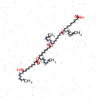 CC/C=C\C/C=C\CC(O)CCCCCCCCC(=O)OC(C/C=C\C/C=C\CC)CCCCCCCCC(=O)OC(C/C=C\C/C=C\CC)CCCCCCCCC(=O)OC(C/C=C\C/C=C\CC)CCCCCCCCC(=O)O